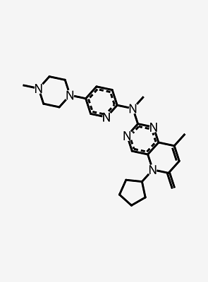 C=C1C=C(C)c2nc(N(C)c3ccc(N4CCN(C)CC4)cn3)ncc2N1C1CCCC1